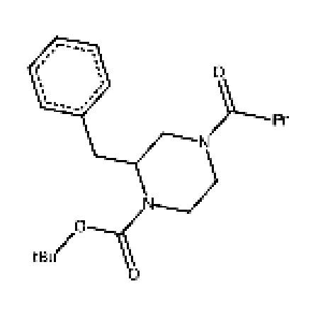 CC(C)C(=O)N1CCN(C(=O)OC(C)(C)C)C(Cc2ccccc2)C1